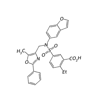 CCc1ccc(S(=O)(=O)N(Cc2nc(-c3ccccc3)oc2C)c2ccc3occc3c2)cc1C(=O)O